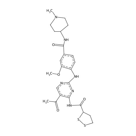 COc1cc(C(=O)NC2CCN(C)CC2)ccc1Nc1ncc(C(C)=O)c(NC(=O)C2CCSS2)n1